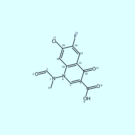 CN(C=O)n1cc(C(=O)O)c(=O)c2cc(F)c(Cl)cc21